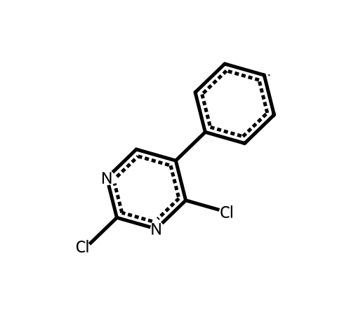 Clc1ncc(-c2cc[c]cc2)c(Cl)n1